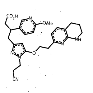 COc1ccc(C(CC(=O)O)Cc2cc(OCCc3ccc4c(n3)NCCC4)n(CCC#N)n2)cn1